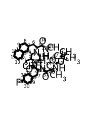 CCC1CN(C(Cc2ccc3ccccc3c2)C(=O)NC)CCN1C(=O)C(Cc1ccc(F)cc1)NC(=O)C(C)(C)NC(=O)OC(C)(C)C